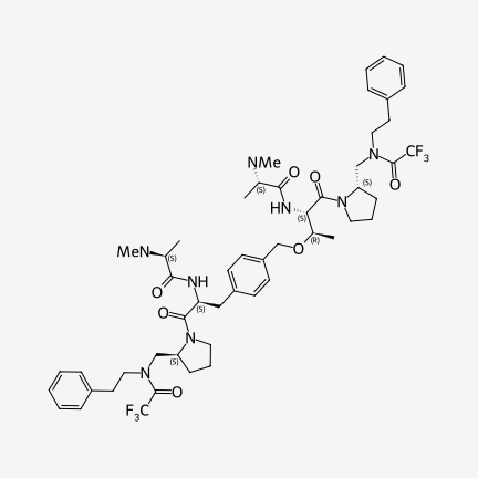 CN[C@@H](C)C(=O)N[C@@H](Cc1ccc(CO[C@H](C)[C@H](NC(=O)[C@H](C)NC)C(=O)N2CCC[C@H]2CN(CCc2ccccc2)C(=O)C(F)(F)F)cc1)C(=O)N1CCC[C@H]1CN(CCc1ccccc1)C(=O)C(F)(F)F